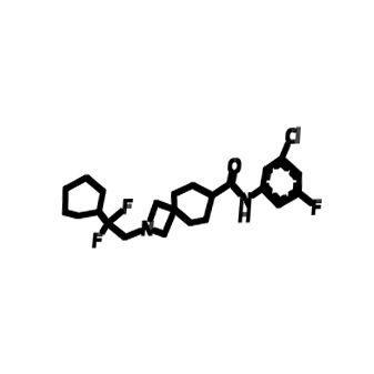 O=C(Nc1cc(F)cc(Cl)c1)C1CCC2(CC1)CN(CC(F)(F)C1CCCCC1)C2